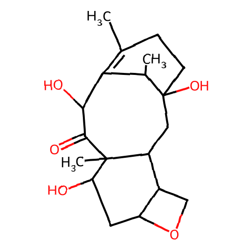 CC1=C2C(O)C(=O)C3(C)C(O)CC4OCC4C3CC(O)(CC1)C2C